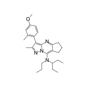 CCCN(c1c2c(nc3c(-c4ccc(OC)cc4C)c(C)nn13)CCC2)C(CC)CC